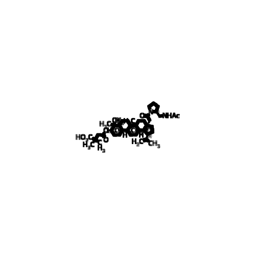 C=C(C)[C@@H]1CC[C@]2(CC(=O)N3CCC[C@H]3CNC(C)=O)CC[C@]3(C)[C@H](CC[C@@H]4[C@@]5(C)CC[C@H](OC(=O)CC(C)(C)C(=O)O)C(C)(C)[C@@H]5CC[C@]43C)[C@@H]12